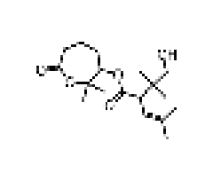 CC(C)=CC(C(=O)OC1CCCC(=O)OC1(C)C)C(C)(C)CO